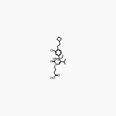 CC[C@]1(c2ccc(CCC3CCC3)c(Cl)c2)NC(=O)N(CCCC(=O)O)C=C1C(C)C